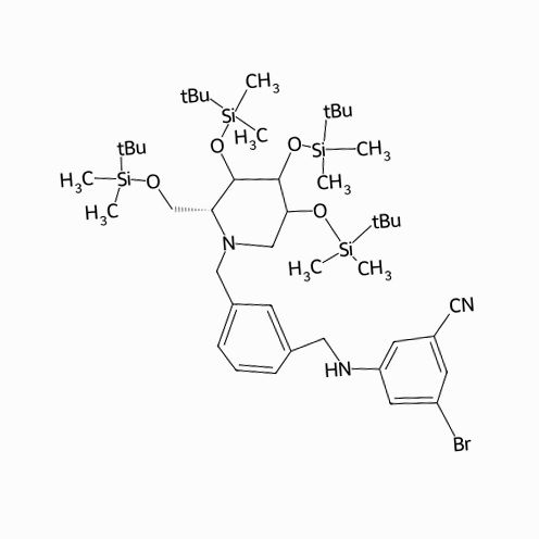 CC(C)(C)[Si](C)(C)OC[C@@H]1C(O[Si](C)(C)C(C)(C)C)C(O[Si](C)(C)C(C)(C)C)C(O[Si](C)(C)C(C)(C)C)CN1Cc1cccc(CNc2cc(Br)cc(C#N)c2)c1